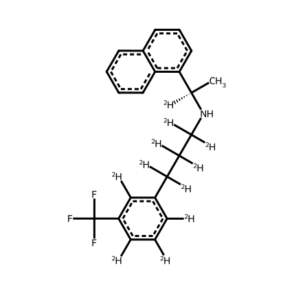 [2H]c1c([2H])c(C(F)(F)F)c([2H])c(C([2H])([2H])C([2H])([2H])C([2H])([2H])N[C@]([2H])(C)c2cccc3ccccc23)c1[2H]